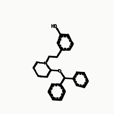 Oc1cccc(CCN2CCCCC2OC(c2ccccc2)c2ccccc2)c1